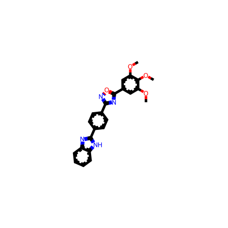 COc1cc(-c2nc(-c3ccc(-c4nc5ccccc5[nH]4)cc3)no2)cc(OC)c1OC